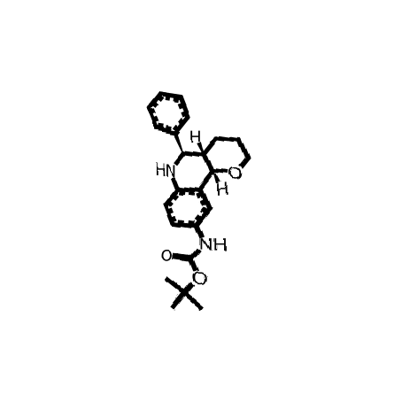 CC(C)(C)OC(=O)Nc1ccc2c(c1)[C@H]1OCCC[C@H]1[C@H](c1ccccc1)N2